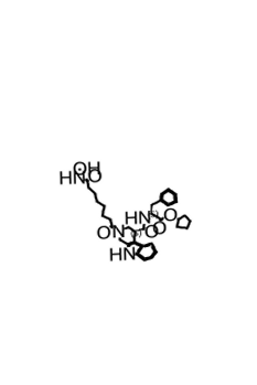 O=C(CCCCCCC(=O)N1Cc2[nH]c3ccccc3c2[C@H](C(=O)N[C@@H](Cc2ccccc2)C(=O)OC2CCCC2)C1)NO